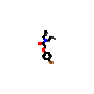 CCN(CC)C(=O)COc1ccc(S)cc1